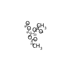 CCC(=O)OC(COC=O)COC(C)=O